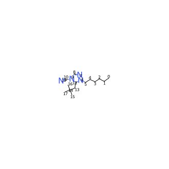 CCCCCCN1N=CN(C#N)C1CC(C)(C)C